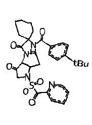 CC(C)(C)c1ccc(C(=O)NC2(C(=O)N3CCC4C3C(=O)CN4S(=O)(=O)C(=O)c3ccccn3)CCCCC2)cc1